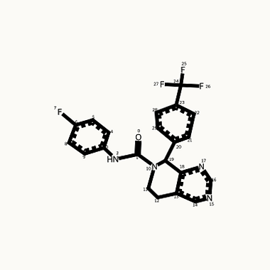 O=C(Nc1ccc(F)cc1)N1CCc2cncnc2C1c1ccc(C(F)(F)F)cc1